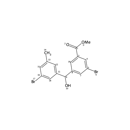 COC(=O)c1cc(Br)cc(C(O)c2cc(C)cc(Br)c2)c1